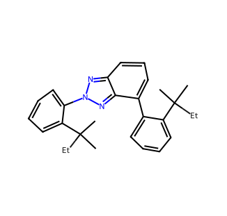 CCC(C)(C)c1ccccc1-c1cccc2nn(-c3ccccc3C(C)(C)CC)nc12